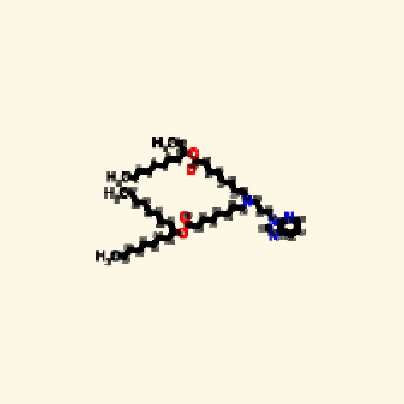 CCCCCCCCC(CC)OC(=O)CCCCCCCN(CCCCCCCC(=O)OC(CCCCCCCC)CCCCCCCC)CCCn1cnc2cccnc21